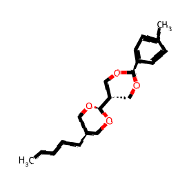 CCCCC[C@H]1CO[C@H]([C@H]2CO[C@H](c3ccc(C)cc3)OC2)OC1